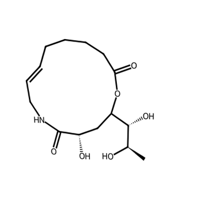 C[C@@H](O)[C@@H](O)C1C[C@H](O)C(=O)NC/C=C/CCCCC(=O)O1